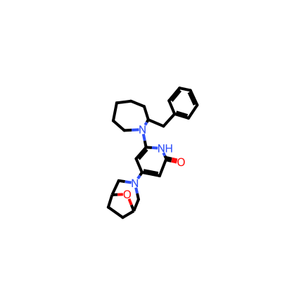 O=c1cc(N2CC3CCC(C2)O3)cc(N2CCCCCC2Cc2ccccc2)[nH]1